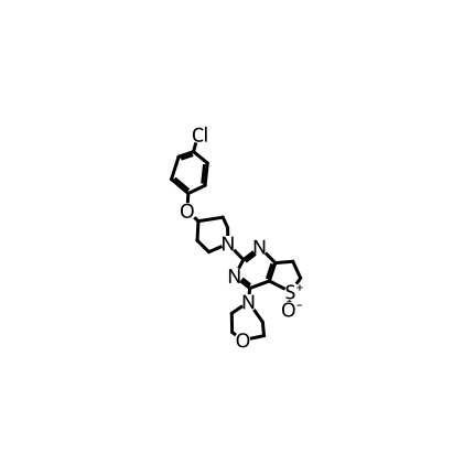 [O-][S@+]1CCc2nc(N3CCC(Oc4ccc(Cl)cc4)CC3)nc(N3CCOCC3)c21